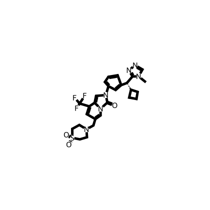 Cn1cnnc1[C@@H](c1cccc(-n2cc3c(C(F)(F)F)cc(CN4CCS(=O)(=O)CC4)cn3c2=O)c1)C1CCC1